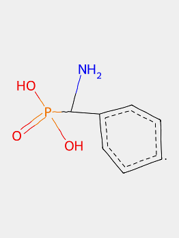 NC(c1cc[c]cc1)P(=O)(O)O